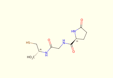 O=C(CNC(=O)[C@@H]1CCC(=O)N1)N[C@@H](CS)C(=O)O